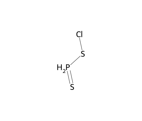 S=[PH2]SCl